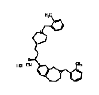 Cc1ccccc1CN1CCC(CCC(=O)c2ccc3c(c2)CN(Cc2ccccc2C)CCC3)CC1.Cl.Cl